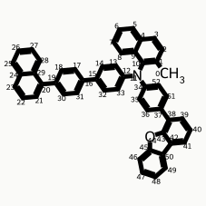 Cc1ccc2ccccc2c1N(c1ccc(-c2ccc(-c3cccc4ccccc34)cc2)cc1)c1ccc(-c2cccc3c2oc2ccccc23)cc1